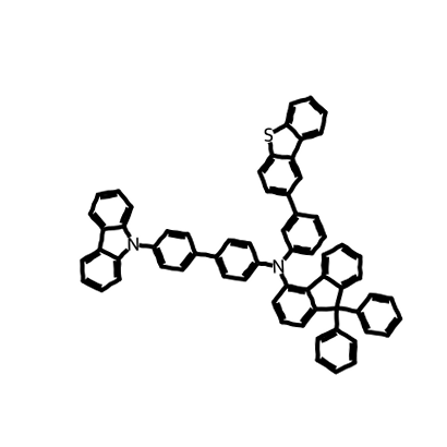 c1ccc(C2(c3ccccc3)c3ccccc3-c3c(N(c4ccc(-c5ccc(-n6c7ccccc7c7ccccc76)cc5)cc4)c4cccc(-c5ccc6sc7ccccc7c6c5)c4)cccc32)cc1